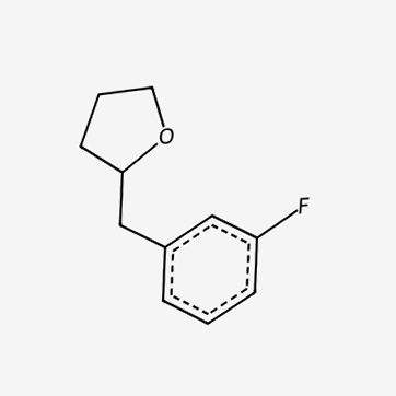 Fc1cccc(CC2CCCO2)c1